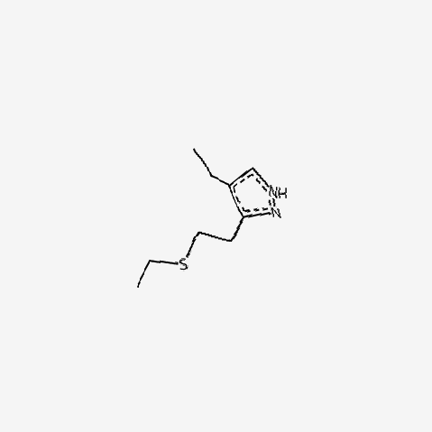 CCSCCc1n[nH]cc1CC